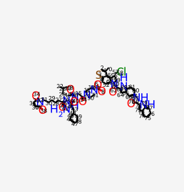 Cc1csc2c(OC(=O)N3CCN(C(=O)CNC(=O)[C@H](CC(C)C)N(C(=O)CCCCCN4C(=O)C=CC4=O)C(=O)[C@@H](N)Cc4ccccc4)CC3)cc3c(c12)[C@@H](CCl)CN3C(=O)c1cc2cc(NC(=O)c3cc4ccccc4[nH]3)ccc2[nH]1